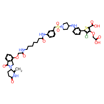 C=C1NC(=O)CCC1N1Cc2c(OCC(=O)NCCCCCCC(=O)Nc3cccc(CS(=O)(=O)N4CCC(Nc5cccc(-c6sc(C(=O)O)c(OCC(=O)O)c6Cl)c5)CC4)c3)cccc2C1=O